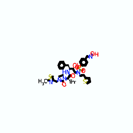 Cc1nc(CN2CCN([C@H](C(=O)N[C@@H](Cc3ccccc3)[C@H](O)CN(CCc3cccs3)S(=O)(=O)c3ccc(/C=N/O)cc3)C(C)C)C2=O)cs1